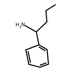 CC[CH]C(N)c1ccccc1